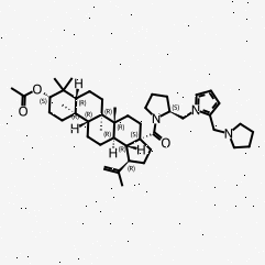 C=C(C)[C@@H]1CC[C@]2(C(=O)N3CCC[C@H]3Cn3cccc3CN3CCCC3)CC[C@]3(C)[C@H](CC[C@@H]4[C@@]5(C)CC[C@H](OC(C)=O)C(C)(C)[C@@H]5CC[C@]43C)[C@@H]12